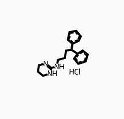 Cl.c1ccc(C(CCCNC2=NCCCN2)c2ccccc2)cc1